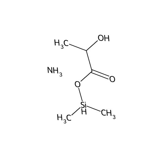 CC(O)C(=O)O[SiH](C)C.N